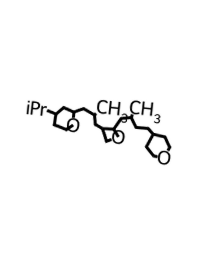 CC(CC1CC(C(C)C)CCO1)CC1COC1CC(C)CCC1CCOCC1